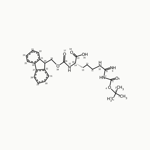 CC(C)(C)OC(=O)NC(=N)NCCC[C@H](NC(=O)OCC1c2ccccc2-c2ccccc21)C(=O)O